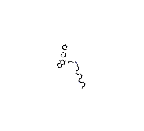 CC/C=C\C/C=C\C/C=C\C/C=C\C/C=C\C/C=C\CCC(=O)OC1=C([C@H]2CC[C@H](c3ccc(Cl)cc3)CC2)C(=O)c2ccccc2C1=O